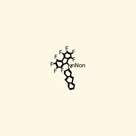 CCCCCCCCCN(c1ccc2cc3ccccc3cc2c1)C1c2c(F)c(F)c(F)c(F)c2-c2c(F)c(F)c(F)c(F)c21